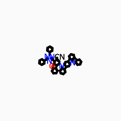 N#Cc1cc(-n2c3ccccc3c3cc4c(cc32)c2cccc3c5ccccc5n4c32)c2c(oc3ccccc32)c1-c1nc(-c2ccccc2)nc(-c2ccccc2)n1